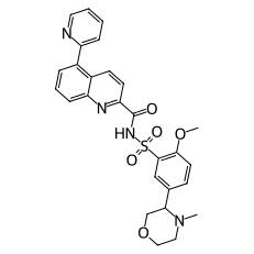 COc1ccc(C2COCCN2C)cc1S(=O)(=O)NC(=O)c1ccc2c(-c3ccccn3)cccc2n1